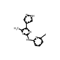 Cc1sc(Nc2cccc(I)n2)nc1-c1cn[nH]c1